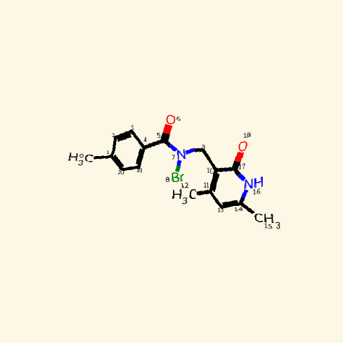 Cc1c[c]c(C(=O)N(Br)Cc2c(C)cc(C)[nH]c2=O)cc1